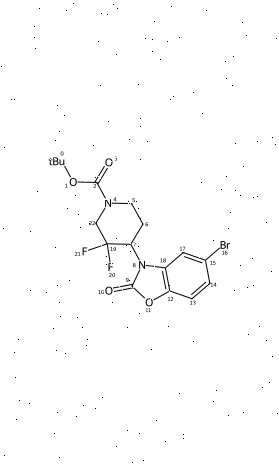 CC(C)(C)OC(=O)N1CCC(n2c(=O)oc3ccc(Br)cc32)C(F)(F)C1